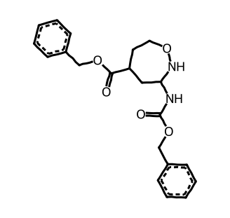 O=C(NC1CC(C(=O)OCc2ccccc2)CCON1)OCc1ccccc1